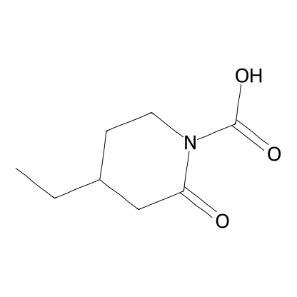 CCC1CCN(C(=O)O)C(=O)C1